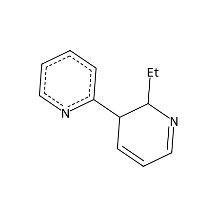 CCC1N=CC=CC1c1ccccn1